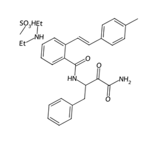 CCNCC.CS(=O)(=O)O.Cc1ccc(C=Cc2ccccc2C(=O)NC(Cc2ccccc2)C(=O)C(N)=O)cc1